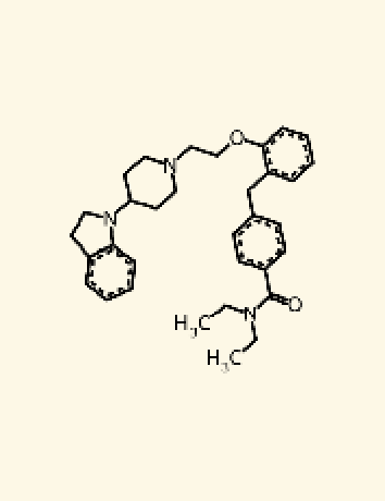 CCN(CC)C(=O)c1ccc(Cc2ccccc2OCCN2CCC(N3CCc4ccccc43)CC2)cc1